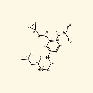 CC(C)CC1CN(c2ccc(OC(F)F)c(OCC3CC3)c2)CCN1